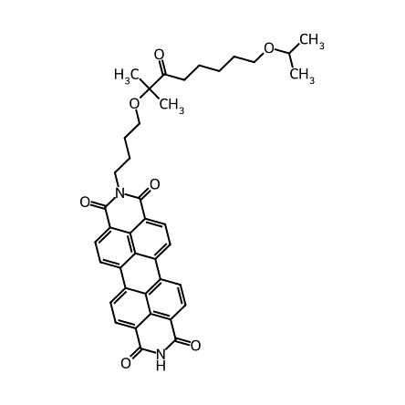 CC(C)OCCCCCC(=O)C(C)(C)OCCCCN1C(=O)c2ccc3c4ccc5c6c(ccc(c7ccc(c2c37)C1=O)c64)C(=O)NC5=O